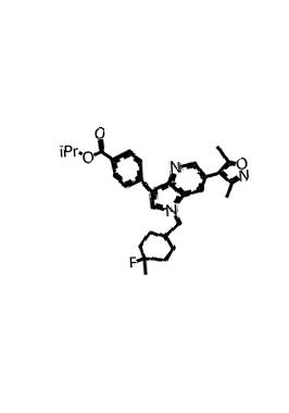 Cc1noc(C)c1-c1cnc2c(-c3ccc(C(=O)OC(C)C)cc3)cn(CC3CCC(C)(F)CC3)c2c1